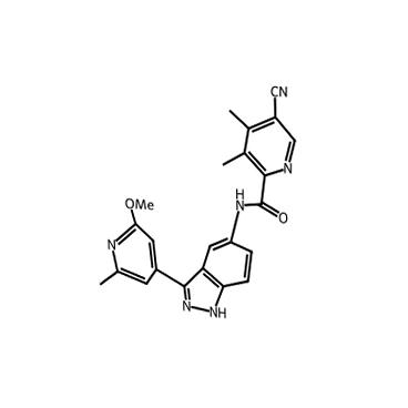 COc1cc(-c2n[nH]c3ccc(NC(=O)c4ncc(C#N)c(C)c4C)cc23)cc(C)n1